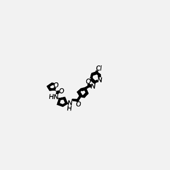 O=C(CN[C@@H]1CC[C@H](NC(=O)[C@@H]2CCCO2)C1)c1ccc(-c2nc3ncc(Cl)cc3o2)cc1